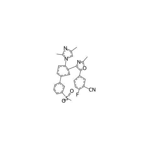 Cc1cn(-c2ccc(-c3cccc(S(C)(=O)=O)c3)cc2-c2nc(C)oc2-c2ccc(F)c(C#N)c2)c(C)n1